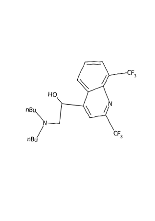 CCCCN(CCCC)CC(O)c1cc(C(F)(F)F)nc2c(C(F)(F)F)cccc12